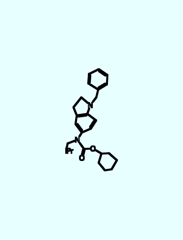 CC(C)CN(C(=O)OC1CCCCC1)c1ccc2c(c1)CCN2Cc1ccccc1